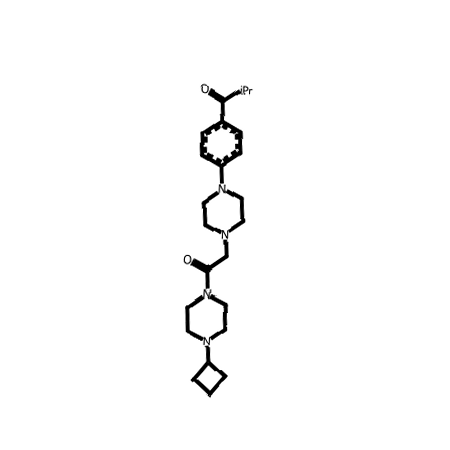 CC(C)C(=O)c1ccc(N2CCN(CC(=O)N3CCN(C4CCC4)CC3)CC2)cc1